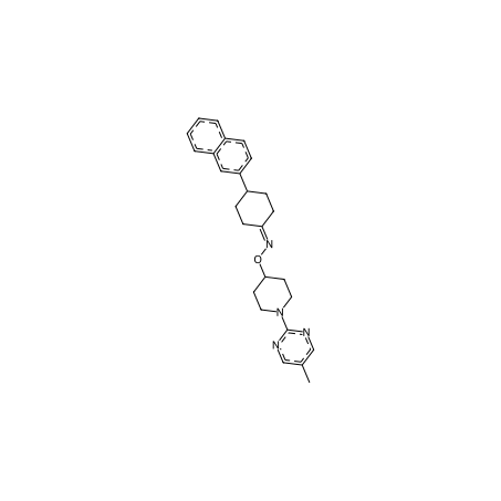 Cc1cnc(N2CCC(ON=C3CCC(c4ccc5ccccc5c4)CC3)CC2)nc1